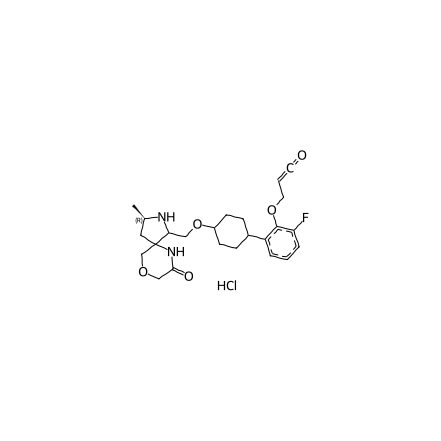 C[C@@H]1CC2(COCC(=O)N2)C(COC2CCC(c3cccc(F)c3OCC=C=O)CC2)N1.Cl